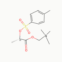 Cc1ccc(S(=O)(=O)O[C@@H](C)C(=O)OC[Si](C)(C)C)cc1